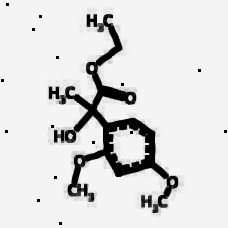 CCOC(=O)C(C)(O)c1ccc(OC)cc1OC